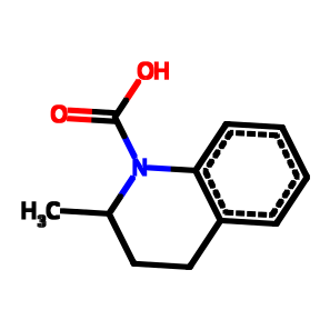 CC1CCc2ccccc2N1C(=O)O